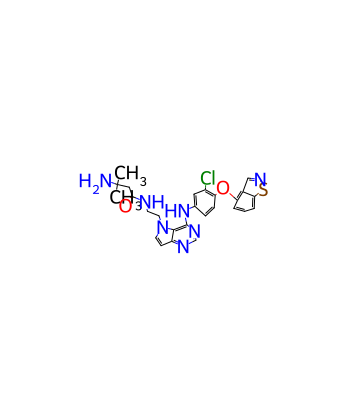 CC(C)(N)CC(=O)NCCn1ccc2ncnc(Nc3ccc(Oc4cccc5sncc45)c(Cl)c3)c21